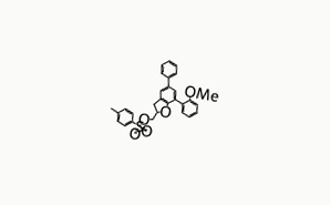 COc1ccccc1-c1cc(-c2ccccc2)cc2c1OC(COS(=O)(=O)c1ccc(C)cc1)C2